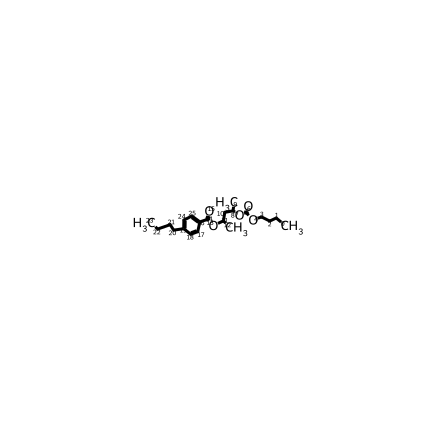 CCCCOC(=O)OC(C)CC(C)OC(=O)c1ccc(CCCC)cc1